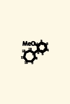 [CH2]Oc1ccccc1C1CCCCCC1